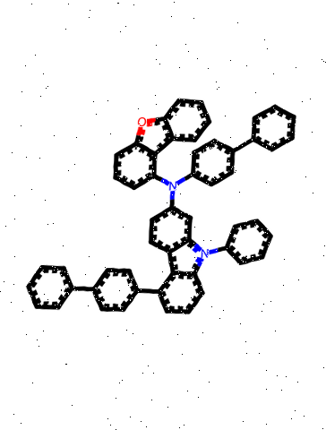 c1ccc(-c2ccc(-c3cccc4c3c3ccc(N(c5ccc(-c6ccccc6)cc5)c5cccc6oc7ccccc7c56)cc3n4-c3ccccc3)cc2)cc1